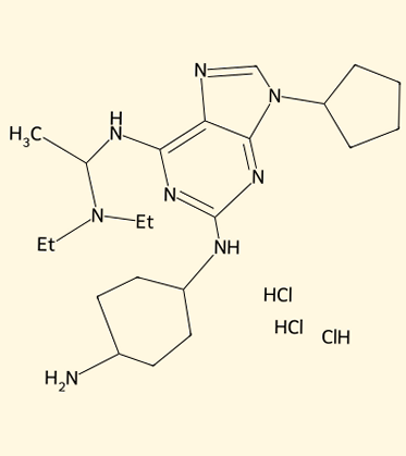 CCN(CC)C(C)Nc1nc(NC2CCC(N)CC2)nc2c1ncn2C1CCCC1.Cl.Cl.Cl